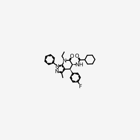 CCN1C(=O)[C@@H](NC(=O)C2CCCCC2)[C@@H](c2ccc(F)cc2)c2c(C)nn(-c3ccccc3)c21